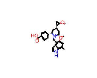 COc1cc(C)c2[nH]ccc2c1CN1CC[C@H](C2CC2OC)C[C@H]1c1ccc(C(=O)O)cc1